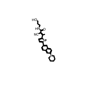 C/C(=C(/C#N)C(=O)NCCCO)c1ccc(-c2ccc3cc(N4CCCCC4)ccc3c2)n1C